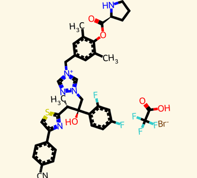 Cc1cc(C[n+]2cnn(C[C@](O)(c3ccc(F)cc3F)[C@@H](C)c3nc(-c4ccc(C#N)cc4)cs3)c2)cc(C)c1OC(=O)[C@@H]1CCCN1.O=C(O)C(F)(F)F.[Br-]